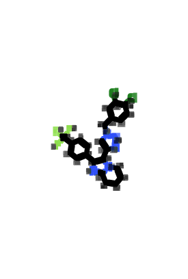 FC(F)(F)c1ccc(-c2nc3ccccn3c2-c2cn(Cc3ccc(Cl)c(Cl)c3)nn2)cc1